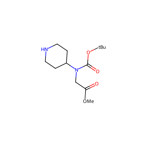 COC(=O)CN(C(=O)OC(C)(C)C)C1CCNCC1